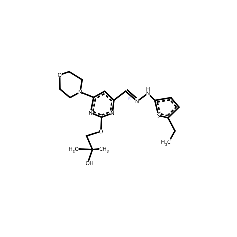 CCc1ccc(N/N=C/c2cc(N3CCOCC3)nc(OCC(C)(C)O)n2)s1